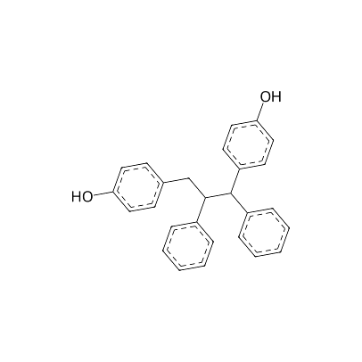 Oc1ccc(CC(c2ccccc2)C(c2ccccc2)c2ccc(O)cc2)cc1